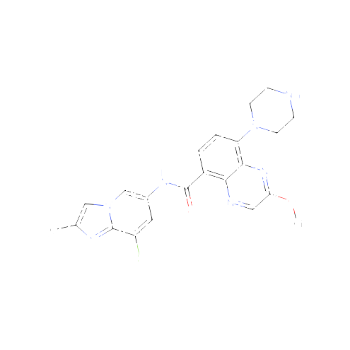 COc1cnc2c(C(=O)Nc3cc(F)c4nc(C)cn4c3)ccc(N3CCNCC3)c2n1